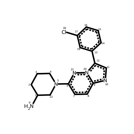 NC1CCCN(c2ccc3ncc(-c4cccc(Cl)c4)n3n2)C1